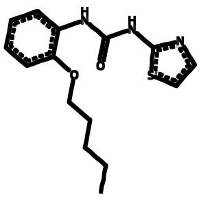 CCCCCOc1ccccc1NC(=O)Nc1nccs1